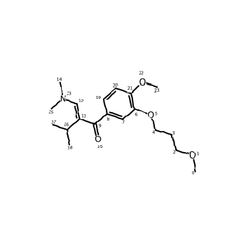 COCCCOc1cc(C(=O)C(=CN(C)C)C(C)C)ccc1OC